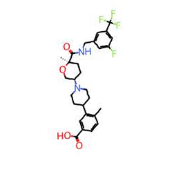 Cc1ccc(C(=O)O)cc1C1CCN([C@@H]2CC[C@](C)(C(=O)NCc3cc(F)cc(C(F)(F)F)c3)OC2)CC1